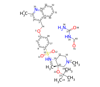 Cc1cc(COc2ccc(S(=O)(=O)N[C@@H]3CCN(C)C[C@]3(C)OC(C)(C)C)cc2)c2ccccc2n1.NC(=O)NC=O